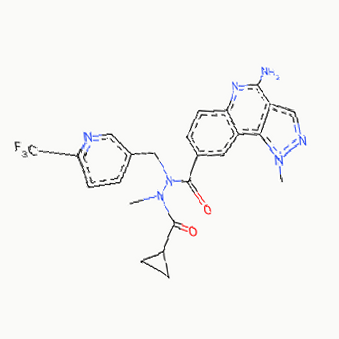 CN(C(=O)C1CC1)N(Cc1ccc(C(F)(F)F)nc1)C(=O)c1ccc2nc(N)c3cnn(C)c3c2c1